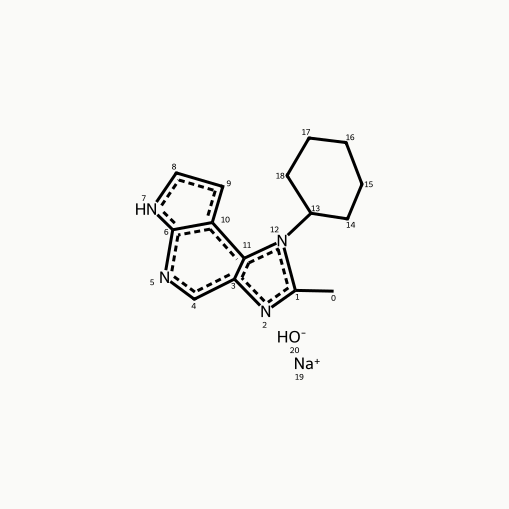 Cc1nc2cnc3[nH]ccc3c2n1C1CCCCC1.[Na+].[OH-]